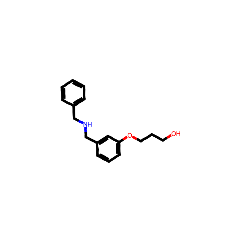 OCCCOc1cccc(CNCc2ccccc2)c1